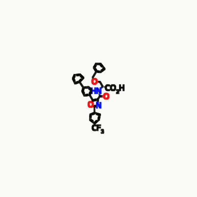 O=C(N[C@H](COCc1ccccc1)C(=O)O)c1nc(-c2ccc(C(F)(F)F)cc2)oc1-c1ccc(-c2ccccc2)cc1